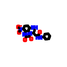 O=C(CC1CNc2ccc([N+](=O)[O-])c3[nH]c(=O)c(=O)n1c23)Nc1ccccc1